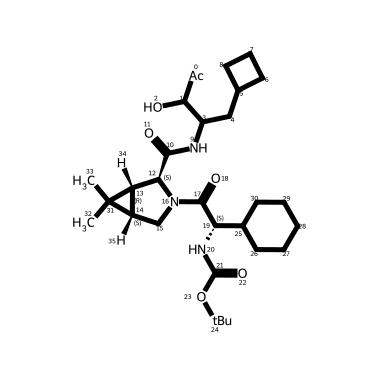 CC(=O)C(O)C(CC1CCC1)NC(=O)[C@@H]1[C@@H]2[C@H](CN1C(=O)[C@@H](NC(=O)OC(C)(C)C)C1CCCCC1)C2(C)C